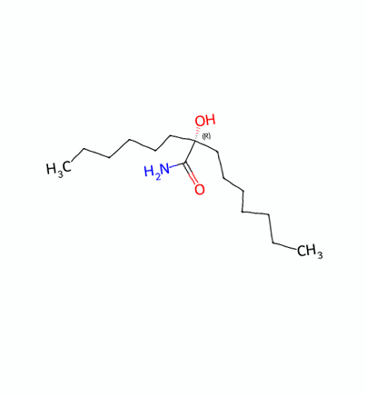 CCCCCCC[C@](O)(CCCCCC)C(N)=O